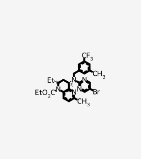 CCOC(=O)N1c2ccc(C)nc2[C@@H](N(Cc2cc(C)cc(C(F)(F)F)c2)c2ncc(Br)cn2)C[C@H]1CC